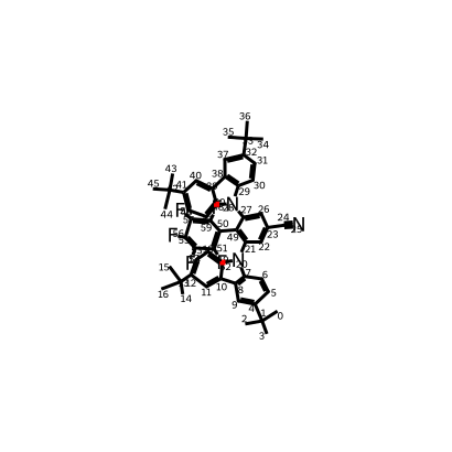 CC(C)(C)c1ccc2c(c1)c1cc(C(C)(C)C)ccc1n2-c1cc(C#N)cc(-n2c3ccc(C(C)(C)C)cc3c3cc(C(C)(C)C)ccc32)c1-c1c(F)c(F)c(F)c(F)c1F